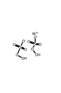 O=S(=O)([O-])OO.O=S(=O)([O-])OO.[Ni+2]